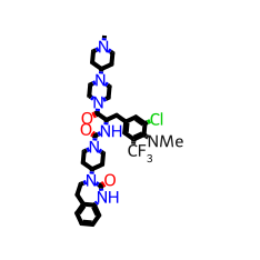 CNc1c(Cl)cc(CC(NC(=O)N2CCC(N3CCc4ccccc4NC3=O)CC2)C(=O)N2CCN(C3CCN(C)CC3)CC2)cc1C(F)(F)F